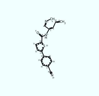 C=C/C=C(\C=N/C)NC(=O)c1ccc(-c2ccc(C#N)cc2)s1